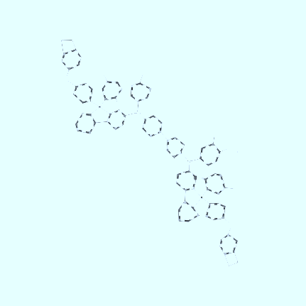 Cc1ccc(C)c(C2(c3ccc(Oc4ccc5c(c4)CC5)cc3)c3ccccc3-c3ccc(N(c4ccc(-c5ccc(N(c6ccc(C)c(F)c6)c6ccc7c(c6)C(c6ccc(Oc8ccc9c(c8)CC9)cc6)(c6cc(C)ccc6C)c6ccccc6-7)cc5)cc4)c4ccc(C)c(F)c4)cc32)c1